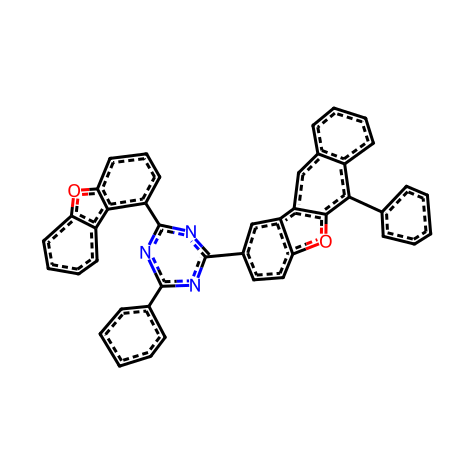 c1ccc(-c2nc(-c3ccc4oc5c(-c6ccccc6)c6ccccc6cc5c4c3)nc(-c3cccc4oc5ccccc5c34)n2)cc1